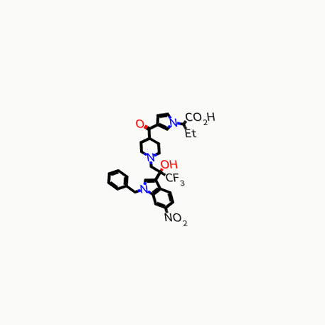 CCC(C(=O)O)n1ccc(C(=O)C2CCN(CC(O)(c3cn(Cc4ccccc4)c4cc([N+](=O)[O-])ccc34)C(F)(F)F)CC2)c1